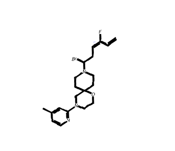 C=C/C(F)=C\CC(Br)N1CCC2(CC1)CN(c1cc(C)ccn1)CCO2